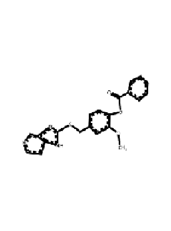 COc1cc(CSc2nc3cnccc3[nH]2)ccc1OC(=O)c1ccccc1